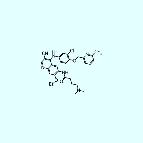 CCOc1cc2ncc(C#N)c(Nc3ccc(OCc4cccc(C(F)(F)F)n4)c(Cl)c3)c2cc1NC(=O)CCCN(C)C